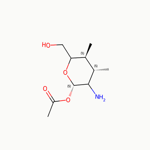 CC(=O)O[C@@H]1OC(CO)[C@@H](C)[C@H](C)C1N